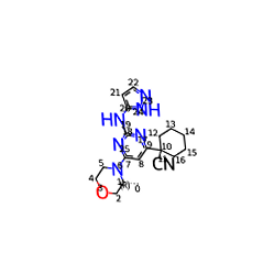 C[C@@H]1COCCN1c1cc(C2(C#N)CCCCC2)nc(Nc2ccn[nH]2)n1